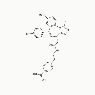 COc1ccc2c(c1)C(c1ccc(Cl)cc1)=N[C@@H](CC(=O)NCCc1ccc(B(O)O)cc1)c1nnc(C)n1-2